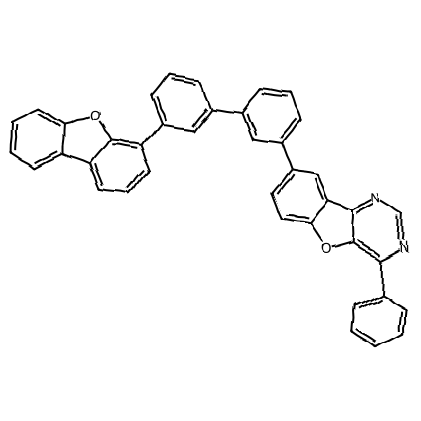 c1ccc(-c2ncnc3c2oc2ccc(-c4cccc(-c5cccc(-c6cccc7c6oc6ccccc67)c5)c4)cc23)cc1